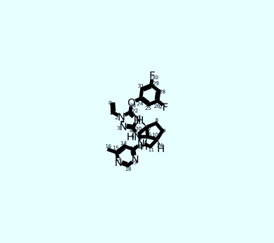 C=Cn1nc(N[C@H]2[C@@H]3CC[C@H]2CN(c2cc(C)ncn2)C3)nc1Oc1cc(F)cc(F)c1